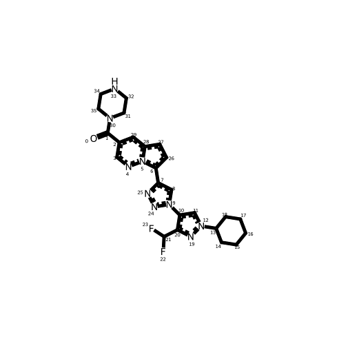 O=C(c1cnn2c(-c3cn(-c4cn(C5CCCCC5)nc4C(F)F)nn3)ccc2c1)N1CCNCC1